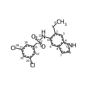 CCc1cc2[nH]ccc2cc1NS(=O)(=O)c1cc(Cl)cc(Cl)c1